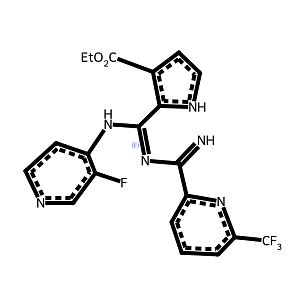 CCOC(=O)c1cc[nH]c1/C(=N\C(=N)c1cccc(C(F)(F)F)n1)Nc1ccncc1F